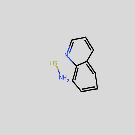 NS.c1ccc2ncccc2c1